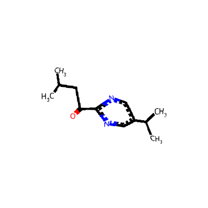 CC(C)CC(=O)c1ncc(C(C)C)cn1